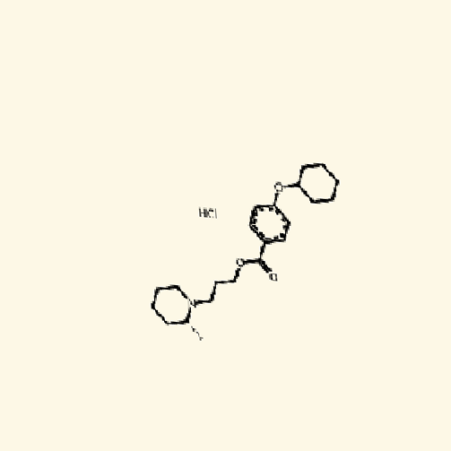 C[C@@H]1CCCCN1CCCOC(=O)c1ccc(OC2CCCCC2)cc1.Cl